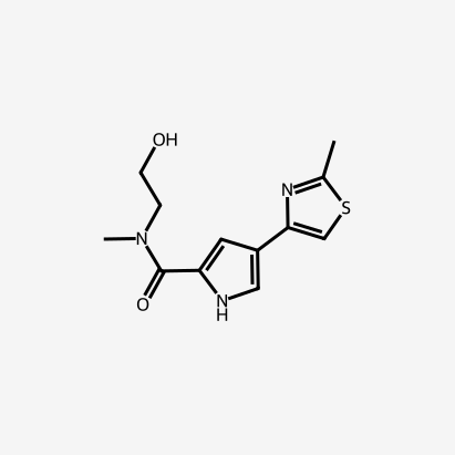 Cc1nc(-c2c[nH]c(C(=O)N(C)CCO)c2)cs1